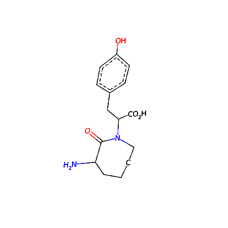 NC1CCCCN(C(Cc2ccc(O)cc2)C(=O)O)C1=O